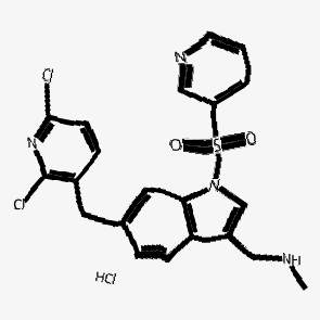 CNCc1cn(S(=O)(=O)c2cccnc2)c2cc(Cc3ccc(Cl)nc3Cl)ccc12.Cl